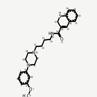 COc1cccc(N2CCN(CCCCNC(=O)C3=Cc4ccccc4SC3)CC2)c1